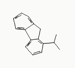 [CH2]C(C)c1cccc2c1Cc1ccccc1-2